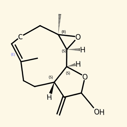 C=C1C(O)O[C@H]2[C@H]1CC/C(C)=C/CC[C@@]1(C)O[C@@H]21